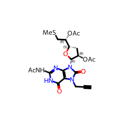 C#CCn1c(=O)n([C@@H]2O[C@H]([C@H](CSC)OC(C)=O)C[C@H]2OC(C)=O)c2nc(NC(C)=O)[nH]c(=O)c21